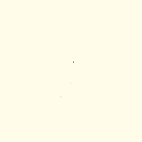 O=[N+]([O-])c1cnn([C@H]2C[C@H](OCc3ccccc3)C2)c1Cl